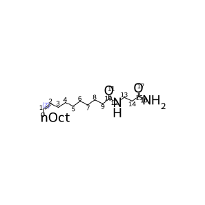 CCCCCCCC/C=C\CCCCCCCC(=O)NCCC(N)=O